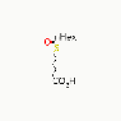 CCCCCCC(=O)SCCCCCC(=O)O